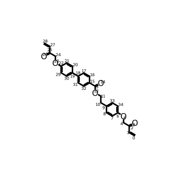 C=CC(=O)COc1ccc(CCOC(=O)c2ccc(-c3ccc(OCC(=O)C=C)cc3)cc2)cc1